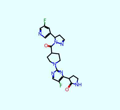 O=C1NCCC1c1nc(N2CCC(C(=O)N3N=CCC3c3cncc(F)c3)CC2)ncc1F